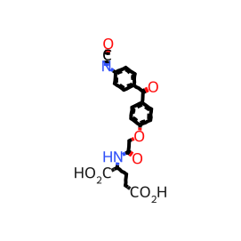 O=C=Nc1ccc(C(=O)c2ccc(OCC(=O)NC(CCC(=O)O)C(=O)O)cc2)cc1